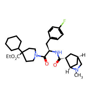 CCOC(=O)C1(C2CCCCC2)CCN(C(=O)[C@@H](Cc2ccc(F)cc2)NC(=O)[C@@H]2C[C@@H]3C[C@H]2N(C)C3)CC1